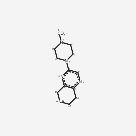 O=C(O)N1CCN(c2cnc3c(n2)CNCC3)CC1